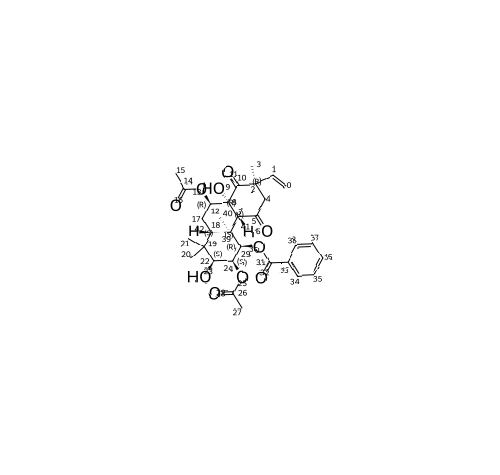 C=C[C@@]1(C)CC(=O)[C@H]2[C@](O)(C1=O)[C@H](OC(C)=O)C[C@H]1C(C)(C)[C@H](O)[C@H](OC(C)=O)[C@H](OC(=O)c3ccccc3)[C@@]12C